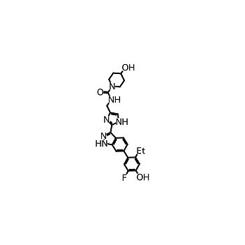 CCc1cc(O)c(F)cc1-c1ccc2c(-c3nc(CNC(=O)N4CCC(O)CC4)c[nH]3)n[nH]c2c1